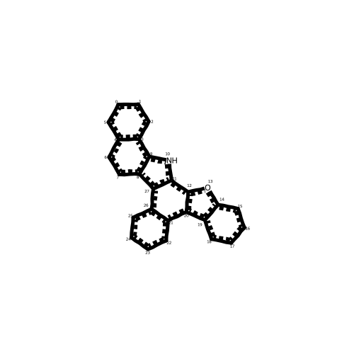 c1ccc2c(c1)ccc1c2[nH]c2c3oc4ccccc4c3c3ccccc3c12